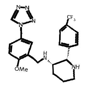 COc1ccc(-n2cnnn2)cc1CN[C@H]1CCCN[C@H]1c1ccc(C(F)(F)F)cc1